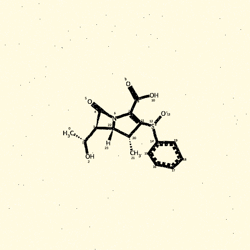 C[C@@H](O)[C@H]1C(=O)N2C(C(=O)O)=C([S+]([O-])c3ccccc3)[C@H](C)[C@H]12